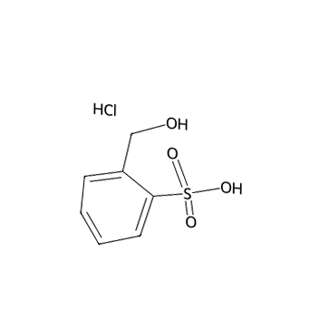 Cl.O=S(=O)(O)c1ccccc1CO